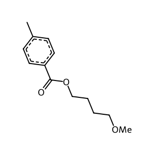 COCCCCOC(=O)c1ccc(C)cc1